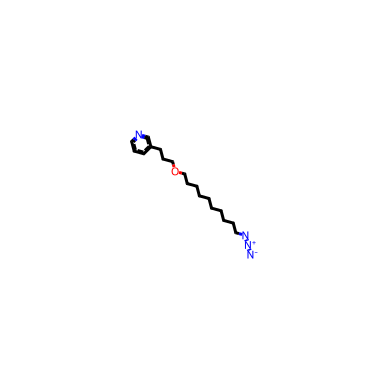 [N-]=[N+]=NCCCCCCCCCCOCCCc1cccnc1